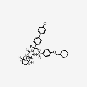 N[C@H]1[C@@H]2CC[C@H]1CN(C(=O)[C@@H](NS(=O)(=O)c1ccc(OCC3CCCCC3)cc1)C(F)(F)c1ccc(-c3ccc(Cl)cc3)cc1)C2